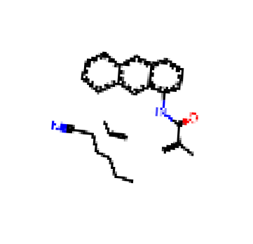 C=C(C)C(=O)Nc1cccc2cc3ccccc3cc12.C=CC.CCCCCC#N